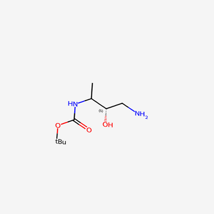 CC(NC(=O)OC(C)(C)C)[C@@H](O)CN